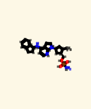 CC1C[C@H](n2ccc3c(NC4CCc5ccccc54)ccnc32)C[C@H]1COS(N)(=O)=O